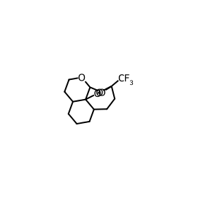 FC(F)(F)C12CCC3CCCC4CCOC(O1)C43OO2